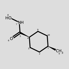 C[C@H]1CC[C@@H](C(=O)NO)CC1